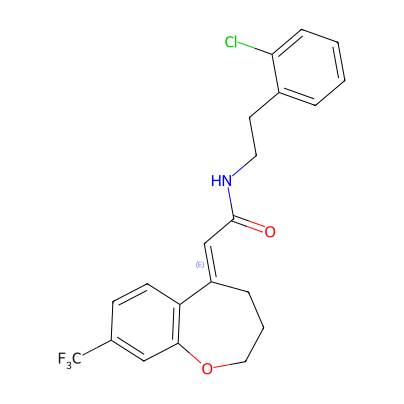 O=C(/C=C1\CCCOc2cc(C(F)(F)F)ccc21)NCCc1ccccc1Cl